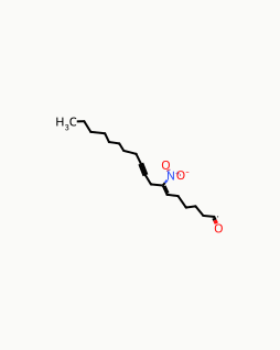 CCCCCCCCC#CCC(=CCCCC[C]=O)[N+](=O)[O-]